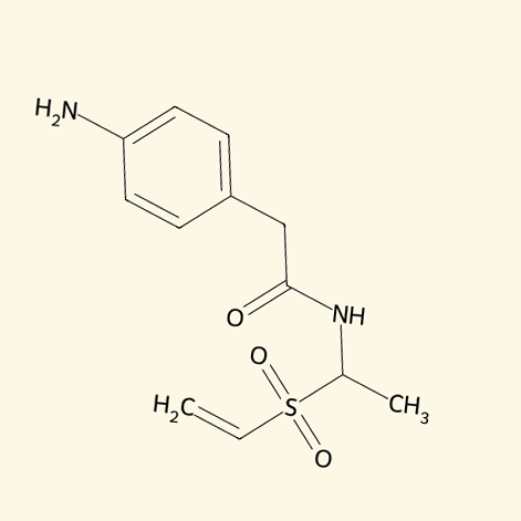 C=CS(=O)(=O)C(C)NC(=O)Cc1ccc(N)cc1